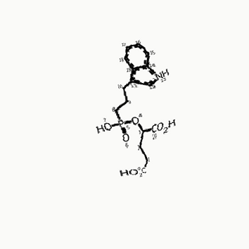 O=C(O)CCC(OP(=O)(O)CCCc1c[nH]c2ccccc12)C(=O)O